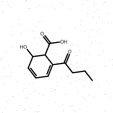 CCCC(=O)C1=CC=CC(O)C1C(=O)O